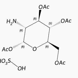 CC(=O)OC[C@H]1O[C@H](OC(C)=O)[C@H](N)[C@@H](OC(C)=O)[C@@H]1OC(C)=O.O=S(=O)(O)O